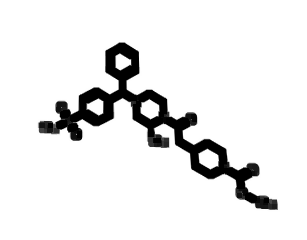 CC(C)(C)OC(=O)N1CCC(CC(=O)N2CCN(C(c3ccccc3)c3ccc(S(=O)(=O)C(C)(C)C)cc3)C[C@@H]2C(C)(C)C)CC1